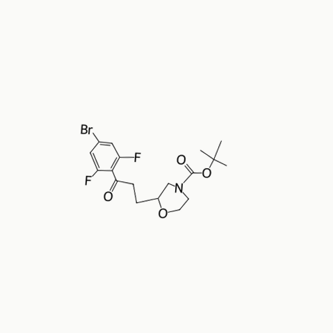 CC(C)(C)OC(=O)N1CCOC(CCC(=O)c2c(F)cc(Br)cc2F)C1